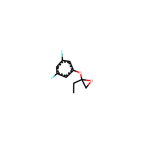 [CH2]CC1(Oc2cc(F)cc(F)c2)CO1